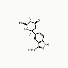 CCCCCCc1n[nH]c2ccc([C@]3(C)CC(=O)N(C)C(=N)N3)cc12